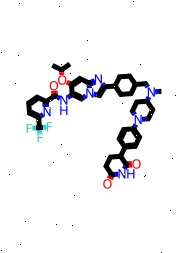 CC(C)Oc1cc2nc(C3CCC(CN(C)C4CCN(c5ccc(C6CCC(=O)NC6=O)cc5)CC4)CC3)cn2cc1NC(=O)c1cccc(C(F)(F)F)n1